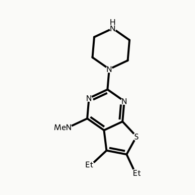 CCc1sc2nc(N3CCNCC3)nc(NC)c2c1CC